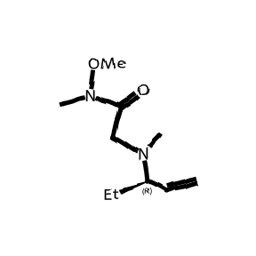 C=C[C@@H](CC)N(C)CC(=O)N(C)OC